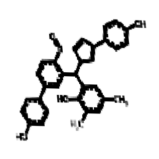 Cc1cc(C)c(O)c(C(c2cc(-c3ccc(O)cc3)ccc2N=O)C2C=CC(c3ccc(O)cc3)=C2)c1